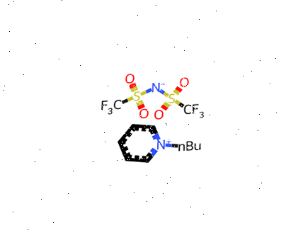 CCCC[n+]1ccccc1.O=S(=O)([N-]S(=O)(=O)C(F)(F)F)C(F)(F)F